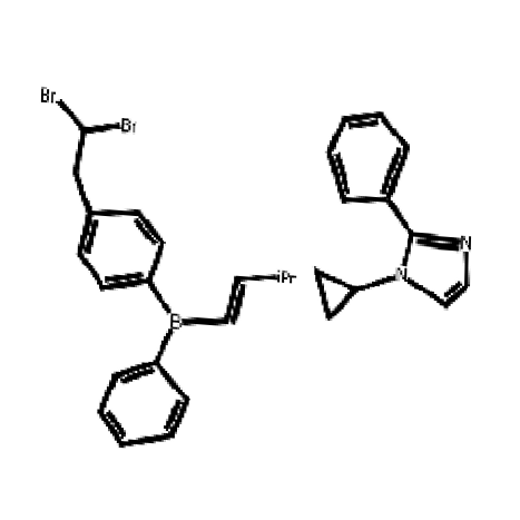 CC(C)C=CB(c1ccccc1)c1ccc(CC(Br)Br)cc1.c1ccc(-c2nccn2C2CC2)cc1